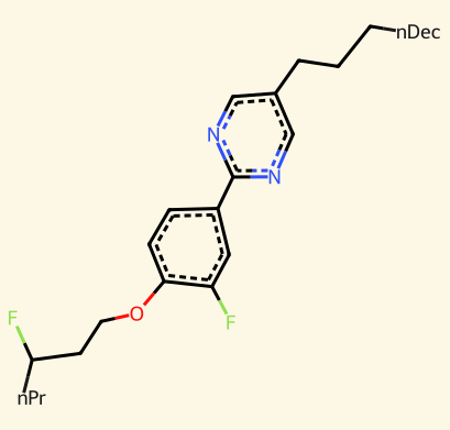 CCCCCCCCCCCCCc1cnc(-c2ccc(OCCC(F)CCC)c(F)c2)nc1